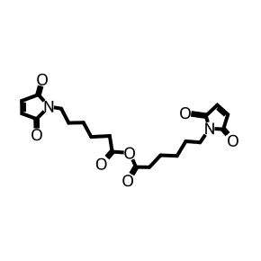 O=C(CCCCCN1C(=O)C=CC1=O)OC(=O)CCCCCN1C(=O)C=CC1=O